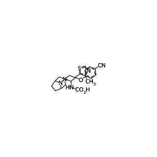 Cc1ncsc1CCN1CC2CCC(C1)N2C[C@@H](COc1ccc(C#N)cc1)NC(=O)O